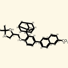 CC1(C)OCC(COc2ccc(-c3ccc4cc(C(=O)O)ccc4c3)cc2C23CC4CC(CC(C4)C2)C3)O1